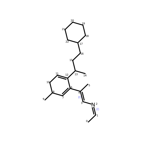 C/C=N\C=C(/C)C1=CC(C)CC=C1C(C)CCC1CCCCC1